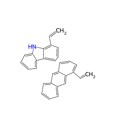 C=Cc1cccc2c1[nH]c1ccccc12.C=Cc1cccc2cc3ccccc3cc12